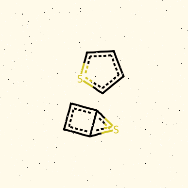 c1cc2sc1-2.c1ccsc1